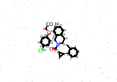 Cc1ccccc1[C@H]1C[C@@H]1C(=O)N1CCc2ccccc2[C@H]1c1cc(Cl)ccc1OCC(=O)O